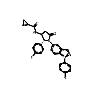 O=C(NC1CC(=O)N(c2ccc3c(cnn3-c3ccc(F)cc3)c2)[C@@H]1c1ccc(F)cc1)C1CC1